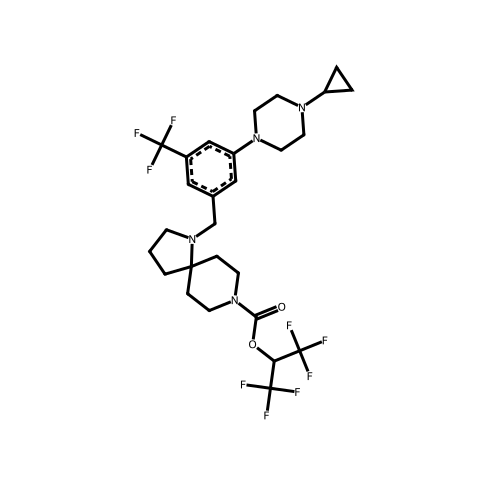 O=C(OC(C(F)(F)F)C(F)(F)F)N1CCC2(CCCN2Cc2cc(N3CCN(C4CC4)CC3)cc(C(F)(F)F)c2)CC1